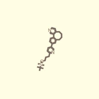 CC(C)(C)[Si](C)(C)OCCCc1ccc(-c2ccc3c(c2)CCCCc2ccncc2-3)cn1